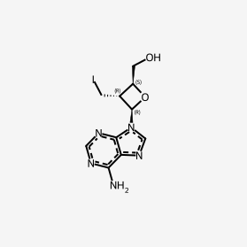 Nc1ncnc2c1ncn2[C@@H]1O[C@H](CO)[C@H]1CI